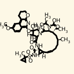 CC[C@@H]1C[C@@H](C)CC/C=C\[C@@H]2C[C@@]2(C(=O)NS(=O)(=O)C2(C)CC2)NC(=O)[C@@H]2N(C[C@@](C)(Oc3nc4c(c5cc(OC)ccc35)CCCO4)C2(F)F)C(=O)[C@H]1N(C(=O)O)C(C)C